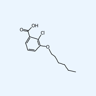 CCCCCCOc1cccc(C(=O)O)c1Cl